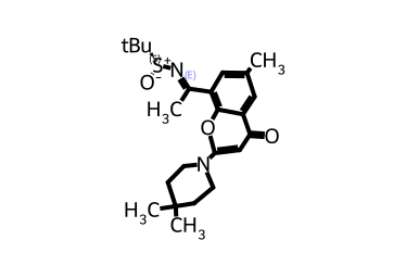 C/C(=N\[S@+]([O-])C(C)(C)C)c1cc(C)cc2c(=O)cc(N3CCC(C)(C)CC3)oc12